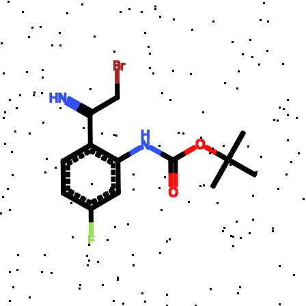 CC(C)(C)OC(=O)Nc1cc(F)ccc1C(=N)CBr